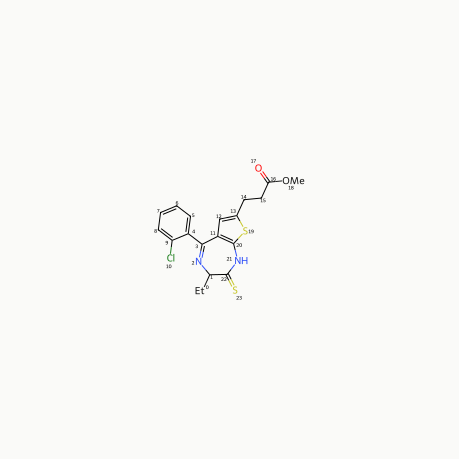 CCC1N=C(c2ccccc2Cl)c2cc(CCC(=O)OC)sc2NC1=S